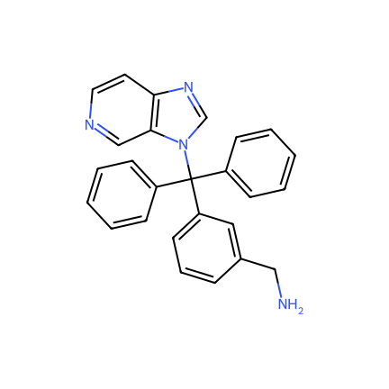 NCc1cccc(C(c2ccccc2)(c2ccccc2)n2cnc3ccncc32)c1